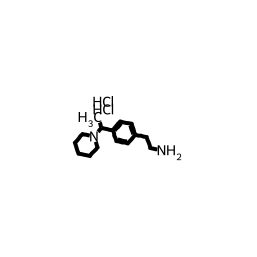 CC(c1ccc(CCN)cc1)N1CCCCC1.Cl.Cl